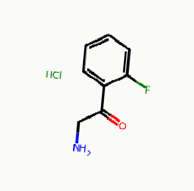 Cl.NCC(=O)c1ccccc1F